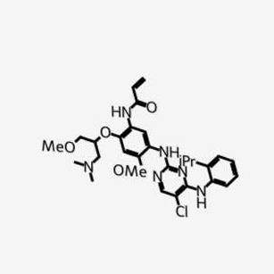 C=CC(=O)Nc1cc(Nc2ncc(Cl)c(Nc3ccccc3C(C)C)n2)c(OC)cc1OC(COC)CN(C)C